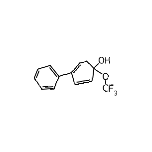 OC1(OC(F)(F)F)C=CC(c2ccccc2)=CC1